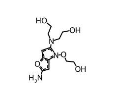 Nc1cc2c(cc(N(CCO)CCO)n2OCCO)o1